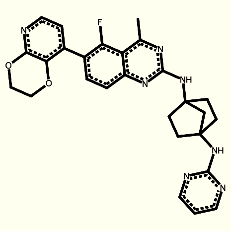 Cc1nc(NC23CCC(Nc4ncccn4)(CC2)C3)nc2ccc(-c3ccnc4c3OCCO4)c(F)c12